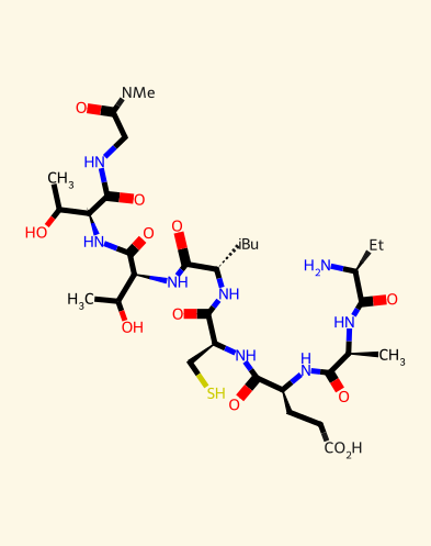 CCC(C)[C@H](NC(=O)[C@H](CS)NC(=O)[C@H](CCC(=O)O)NC(=O)[C@H](C)NC(=O)[C@@H](N)CC)C(=O)N[C@H](C(=O)N[C@H](C(=O)NCC(=O)NC)C(C)O)C(C)O